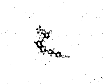 COc1ccc(C2[C@H]3CN(c4nc5c([C@@H](C)Nc6ccc(Cl)nc6C(=O)NS(C)(=O)=O)cc(C)cc5c(=O)n4C)C[C@@H]23)cn1